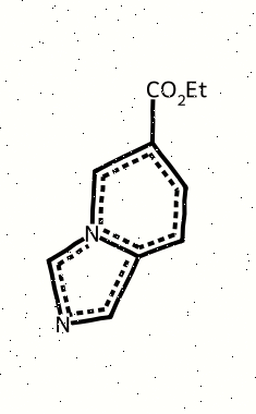 CCOC(=O)c1ccc2cncn2c1